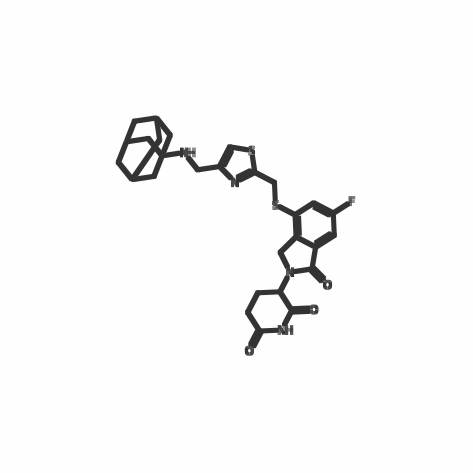 O=C1CCC(N2Cc3c(SCc4nc(CNC56CC7CC(CC(C7)C5)C6)cs4)cc(F)cc3C2=O)C(=O)N1